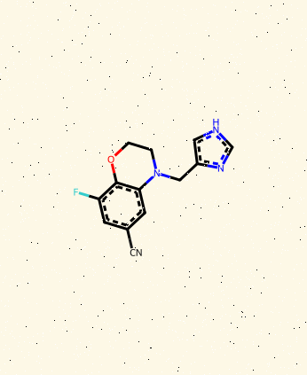 N#Cc1cc(F)c2c(c1)N(Cc1c[nH]cn1)CCO2